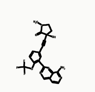 CN1CC[C@](O)(C#Cc2ccc(OC(F)(F)F)c(-c3ncc4ccnc(N)c4n3)c2)C1=O